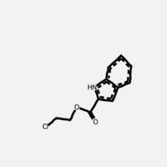 O=C(OCCCl)c1cc2ccccc2[nH]1